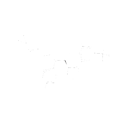 Cc1cc(C(F)(F)F)cc(N2CCC[C@H]2C(=O)N(CCCNC2CC2)c2ccc(F)c(Cl)c2)n1